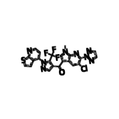 Cn1cc(C(=O)c2cnn(-c3ccnc4sccc34)c2C(F)(F)F)c2cc(Cl)c(-n3nccn3)nc21